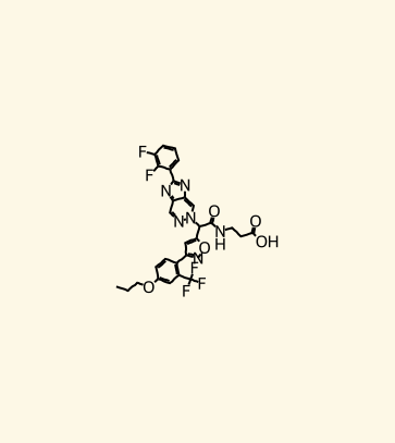 CCCOc1ccc(-c2cc(C(C(=O)NCCC(=O)O)n3cc4nc(-c5cccc(F)c5F)nc-4cn3)on2)c(C(F)(F)F)c1